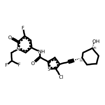 O=C(Nc1cc(F)c(=O)n(CC(F)F)c1)c1cc(C#C[C@H]2CCC[C@@H](O)C2)c(Cl)s1